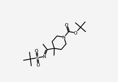 CC(=NS(=O)(=O)C(C)(C)C)C1(C)CCN(C(=O)OC(C)(C)C)CC1